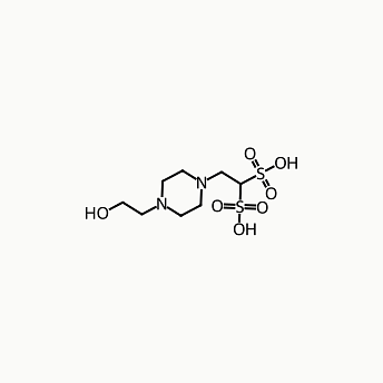 O=S(=O)(O)C(CN1CCN(CCO)CC1)S(=O)(=O)O